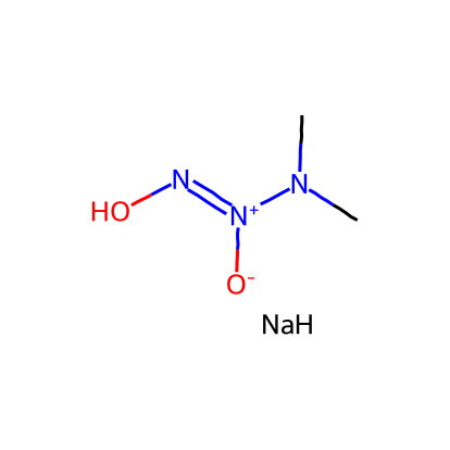 CN(C)[N+]([O-])=NO.[NaH]